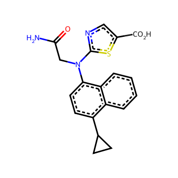 NC(=O)CN(c1ncc(C(=O)O)s1)c1ccc(C2CC2)c2ccccc12